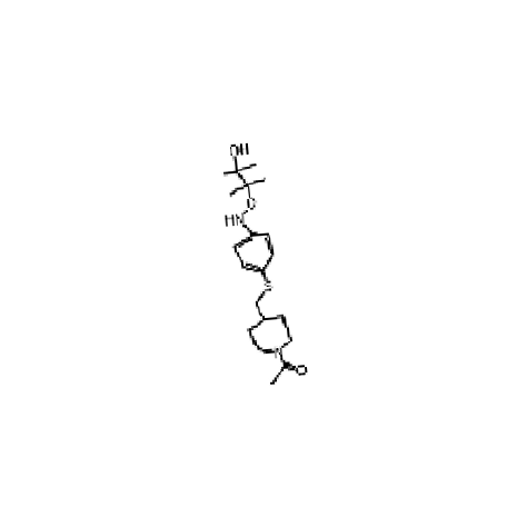 CC(=O)N1CCC(CSc2ccc(NOC(C)(C)C(C)(C)O)cc2)CC1